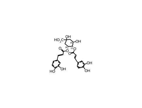 O=C(C=Cc1ccc(O)c(O)c1)O[C@H]1[C@H](O)CC(O)(C(=O)O)C[C@H]1OC(=O)C=Cc1ccc(O)c(O)c1